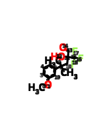 COc1cccc(C(C)(C)CC(O)(C=O)C(F)(F)F)c1